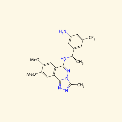 COc1cc2c(N[C@H](C)c3cc(N)cc(C(F)(F)F)c3)nn3c(C)nnc3c2cc1OC